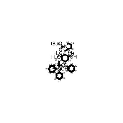 CC(=O)[C@]1(C[C@@H]2C(C)(C)[C@H](CC(C)(C)[Si](O)(c3ccccc3)c3ccccc3)[C@@H](Sc3ccccc3)C[C@]2(C)O)CCCN1C(=O)OC(C)(C)C